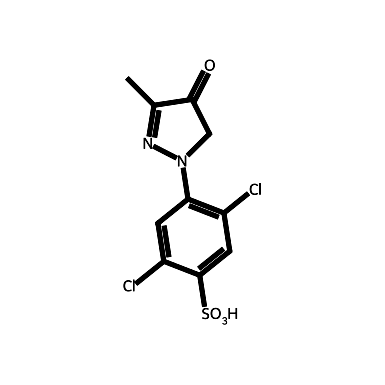 CC1=NN(c2cc(Cl)c(S(=O)(=O)O)cc2Cl)CC1=O